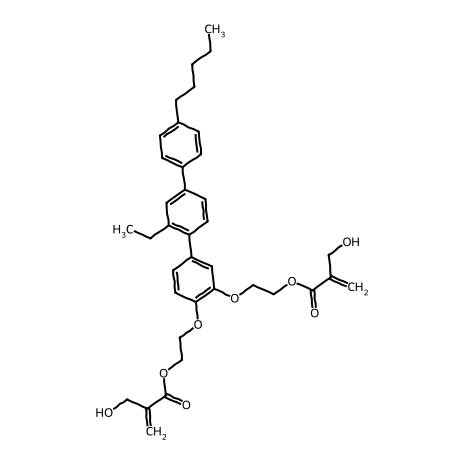 C=C(CO)C(=O)OCCOc1ccc(-c2ccc(-c3ccc(CCCCC)cc3)cc2CC)cc1OCCOC(=O)C(=C)CO